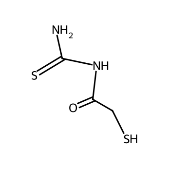 NC(=S)NC(=O)CS